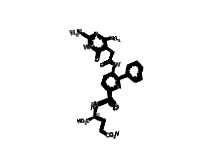 Nc1nc(N)c(CC(=O)Nc2ccc(C(=O)N[C@@H](CCC(=O)O)C(=O)O)nc2-c2ccccc2)c(=O)[nH]1